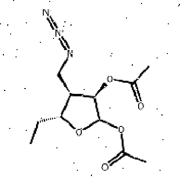 CC[C@H]1OC(OC(C)=O)[C@H](OC(C)=O)[C@@H]1CN=[N+]=[N-]